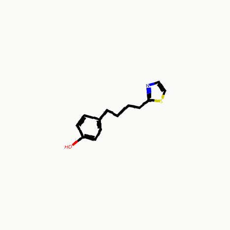 Oc1ccc(CCCCc2nccs2)cc1